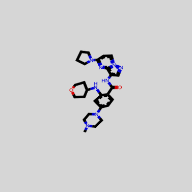 CN1CCN(c2ccc(C(=O)Nc3cnn4ccc(N5CCCC5)nc34)c(NC3CCOCC3)c2)CC1